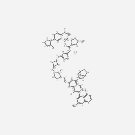 CCc1cccc2cc(O)cc(-c3ncc4c(N5CC6CCC(C5)N6)nc(OC[C@@H]5CC[C@@H](CN6CC(Oc7cc([C@H](C(=O)N8C[C@H](O)C[C@H]8C(=O)N[C@@H](C)c8ccc(-c9scnc9C)cc8)C(C)C)on7)C6)N5C)nc4c3F)c12